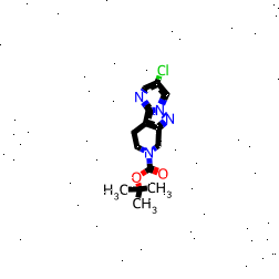 CC(C)(C)OC(=O)N1CCc2c(nn3cc(Cl)cnc23)C1